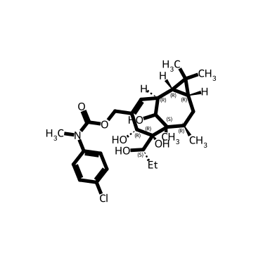 CC[C@H](O)[C@@]1(O)[C@H](O)C(COC(=O)N(C)c2ccc(Cl)cc2)=C[C@@H]2C(O)[C@]1(C)[C@H](C)C[C@@H]1[C@H]2C1(C)C